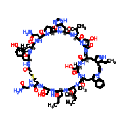 C=Cc1[nH]cc2c1/C=C\n1cc(c3ccccc31)C[C@@H]1NC(=O)[C@H](CO)NC(=O)[C@H](C2)NC2(C=O)C[C@@H](O)CN2C(=O)[C@H](CC(C)C)NC(=O)[C@H](Cc2cnc[nH]2)NC(=O)[C@@H]2CCCN2C(=O)[C@H](CC(N)=O)NC(=O)[C@H](C)N(C)C(=O)[C@H](Cc2ccc(O)cc2)NC(=O)CSCC(C(=O)NCC(N)=O)NC(=O)[C@H](CO)NC(=O)[C@H](CCCC)N(C)C(=O)[C@H](CCCC)N(C)C1=O